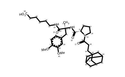 COc1ccc(C[C@](C)(NC(=O)[C@@H]2CCCN2C(=O)CCC23CC4CC(CC(C4)C2)C3)C(=O)NCCCCCC(=O)O)cc1OC